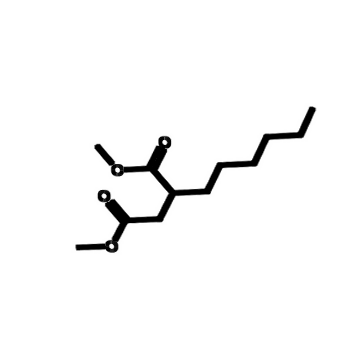 CCCCCCC(CC(=O)OC)C(=O)OC